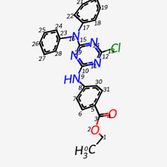 CCOC(=O)c1ccc(Nc2nc(Cl)nc(N(c3ccccc3)c3ccccc3)n2)cc1